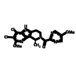 COc1cnc(C(=O)N2CCc3[nH]c4c(Cl)c(Cl)c(OC)nc4c3[C@H]2C)nc1